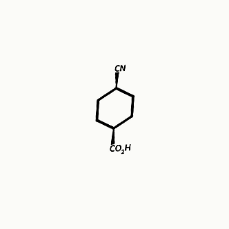 N#C[C@H]1CC[C@@H](C(=O)O)CC1